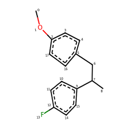 COc1ccc(CC(C)c2ccc(F)cc2)cc1